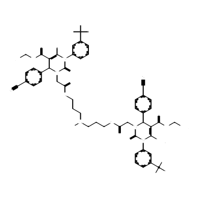 CCOC(=O)C1=C(C)N(c2cccc(C(F)(F)F)c2)C(=O)N(CC(=O)NCCCN(C)CCCNC(=O)CN2C(=O)N(c3cccc(C(F)(F)F)c3)C(C)=C(C(=O)OCC)C2c2ccc(C#N)cc2)C1c1ccc(C#N)cc1